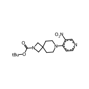 CC(C)(C)OC(=O)N1CC2(CCN(c3ccncc3[N+](=O)[O-])CC2)C1